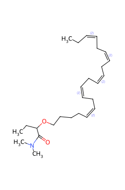 CC/C=C\C/C=C\C/C=C\C/C=C\C/C=C\CCCCOC(CC)C(=O)N(C)C